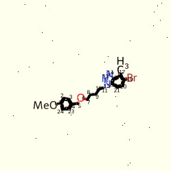 COc1ccc(COCCCCCn2nnc3c(C)c(Br)ccc32)cc1